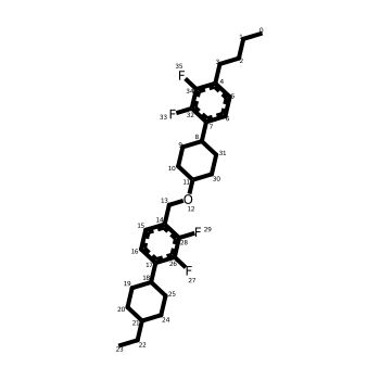 CCCCc1ccc(C2CCC(OCc3ccc(C4CCC(CC)CC4)c(F)c3F)CC2)c(F)c1F